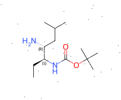 CC[C@H](NC(=O)OC(C)(C)C)[C@H](N)CC(C)C